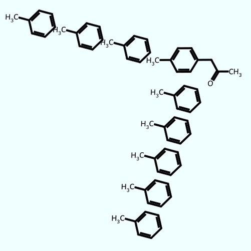 CC(=O)Cc1ccc(C)cc1.Cc1ccccc1.Cc1ccccc1.Cc1ccccc1.Cc1ccccc1.Cc1ccccc1.Cc1ccccc1.Cc1ccccc1.Cc1ccccc1